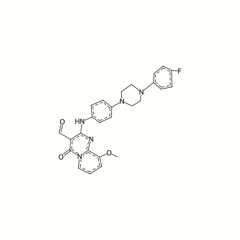 COc1cccn2c(=O)c(C=O)c(Nc3ccc(N4CCN(c5ccc(F)cc5)CC4)cc3)nc12